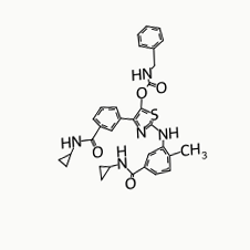 Cc1ccc(C(=O)NC2CC2)cc1Nc1nc(-c2cccc(C(=O)NC3CC3)c2)c(OC(=O)NCc2ccccc2)s1